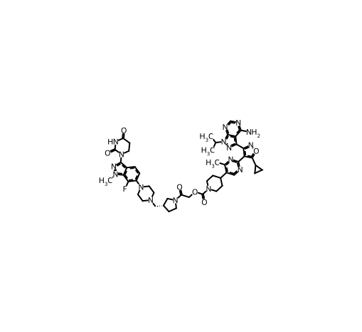 Cc1nc(-c2c(-c3nn(C(C)C)c4ncnc(N)c34)noc2C2CC2)ncc1C1CCN(C(=O)OCC(=O)N2CC[C@H](CN3CCN(c4ccc5c(N6CCC(=O)NC6=O)nn(C)c5c4F)CC3)C2)CC1